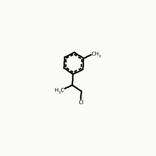 C[C](CCl)c1cccc(C)c1